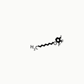 CCCCCCCCCCOc1ccc(I)c(F)c1F